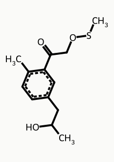 CSOCC(=O)c1cc(CC(C)O)ccc1C